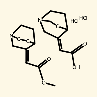 COC(=O)C=C1CN2CCC1CC2.Cl.Cl.O=C(O)C=C1CN2CCC1CC2